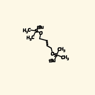 CC(C)(C)[Si](C)(C)OC/C=C/CO[Si](C)(C)C(C)(C)C